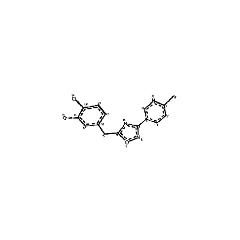 Cc1ccc(-c2noc(Cc3ccc(Cl)c(Cl)c3)n2)cn1